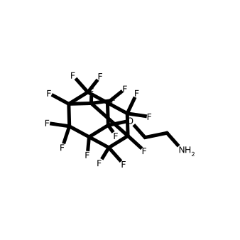 NCCOC1(F)C2(F)C(F)(F)C3(F)C(F)(F)C(F)(C2(F)F)C(F)(F)C1(F)C3(F)F